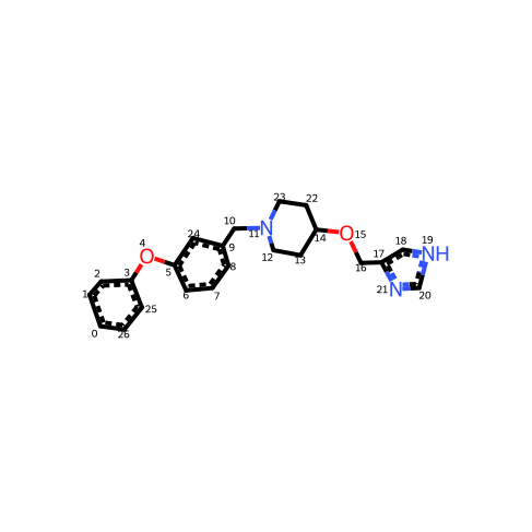 c1ccc(Oc2cccc(CN3CCC(OCc4c[nH]cn4)CC3)c2)cc1